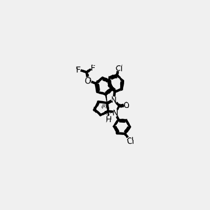 O=C1N(c2ccc(Cl)cc2)[C@@H]2CCC[C@]2(c2cccc(OC(F)F)c2)N1c1ccc(Cl)cc1